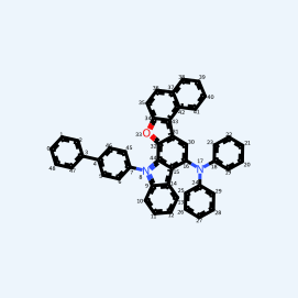 c1ccc(-c2ccc(-n3c4ccccc4c4c(N(c5ccccc5)c5ccccc5)cc5c(oc6ccc7ccccc7c65)c43)cc2)cc1